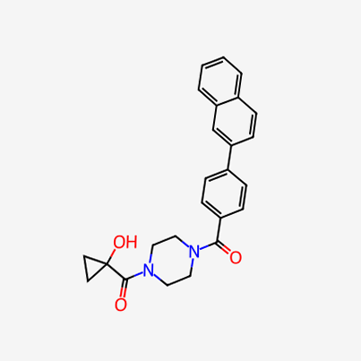 O=C(c1ccc(-c2ccc3ccccc3c2)cc1)N1CCN(C(=O)C2(O)CC2)CC1